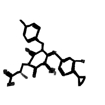 Cc1ccc(Cn2c(=O)n(C[C@H](C)C(=O)N=O)c(=O)n(N)/c2=N\c2ccc(C3CC3)c(Cl)c2)cc1